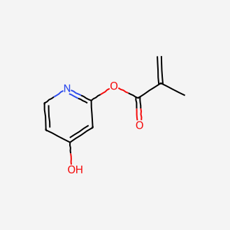 C=C(C)C(=O)Oc1cc(O)ccn1